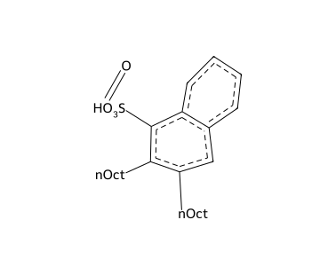 C=O.CCCCCCCCc1cc2ccccc2c(S(=O)(=O)O)c1CCCCCCCC